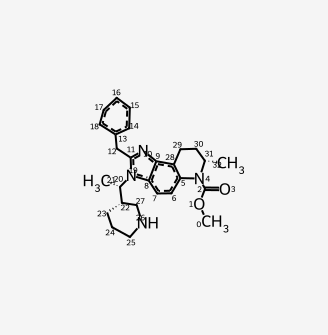 COC(=O)N1c2ccc3c(nc(Cc4ccccc4)n3[C@@H](C)[C@H]3CCCNC3)c2CC[C@@H]1C